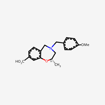 COc1ccc(CN2Cc3ccc(C(=O)O)cc3O[C@@H](C)C2)cc1